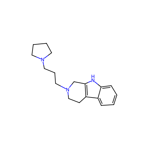 c1ccc2c3c([nH]c2c1)CN(CCCN1CCCC1)CC3